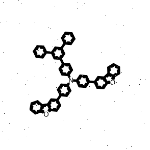 c1ccc(-c2cc(-c3ccccc3)cc(-c3ccc(N(c4ccc(-c5ccc6oc7ccccc7c6c5)cc4)c4ccc(-c5ccc6oc7ccccc7c6c5)cc4)cc3)c2)cc1